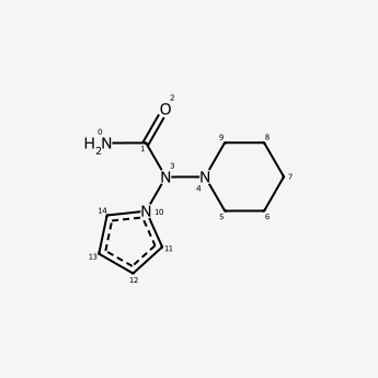 NC(=O)N(N1CCCCC1)n1cccc1